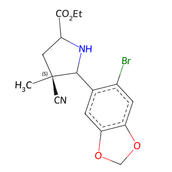 CCOC(=O)C1C[C@](C)(C#N)C(c2cc3c(cc2Br)OCO3)N1